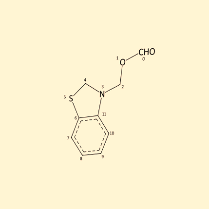 O=COCN1CSc2ccccc21